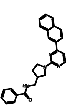 O=C(NCC1CCN(c2nccc(-c3ccc4ccccc4c3)n2)C1)c1ccccc1